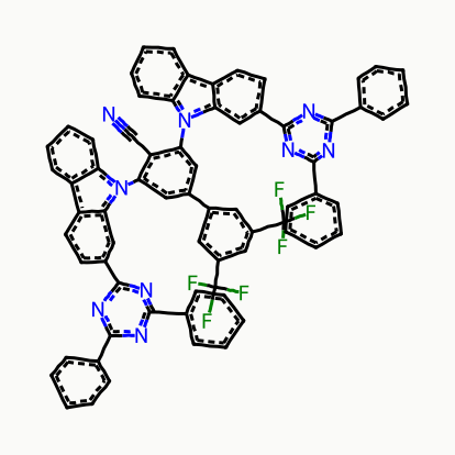 N#Cc1c(-n2c3ccccc3c3ccc(-c4nc(-c5ccccc5)nc(-c5ccccc5)n4)cc32)cc(-c2cc(C(F)(F)F)cc(C(F)(F)F)c2)cc1-n1c2ccccc2c2ccc(-c3nc(-c4ccccc4)nc(-c4ccccc4)n3)cc21